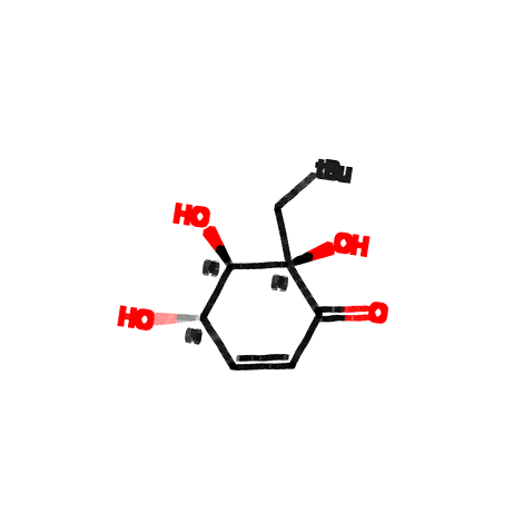 CC(C)(C)C[C@]1(O)C(=O)C=C[C@H](O)[C@H]1O